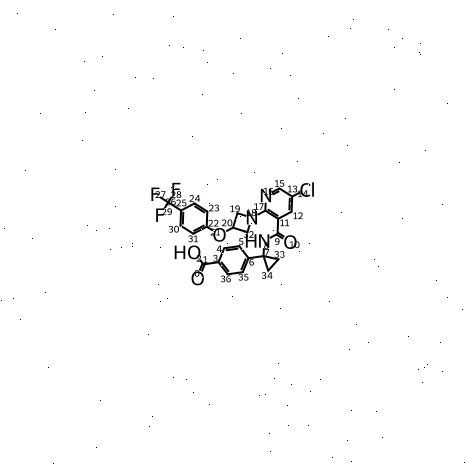 O=C(O)c1ccc(C2(NC(=O)c3cc(Cl)cnc3N3CC(Oc4ccc(C(F)(F)F)cc4)C3)CC2)cc1